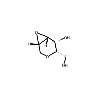 OC[C@@H]1OC[C@@H]2O[C@@H]2[C@@H]1O